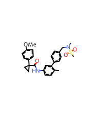 COc1ccc(C2(C(=O)Nc3ccc(C)c(-c4ccc(CN(C)S(C)(=O)=O)cc4)c3)CC2)cc1